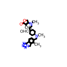 CC1=C(N(C)CC[C@]2(C=O)CC[C@@H](N(C)Cc3ccc4c(c3C)Cn3nnnc3-4)CC2)COC1=O